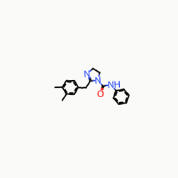 Cc1ccc(CC2=NCCN2C(=O)Nc2ccccc2)cc1C